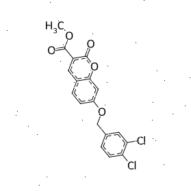 COC(=O)c1cc2ccc(OCc3ccc(Cl)c(Cl)c3)cc2oc1=O